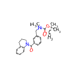 CN(Cc1cccc(C(=O)N2CCCc3ccccc32)c1)C(=O)OC(C)(C)C